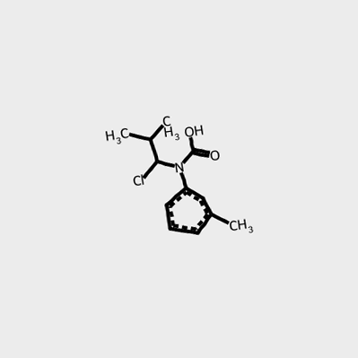 Cc1cccc(N(C(=O)O)C(Cl)C(C)C)c1